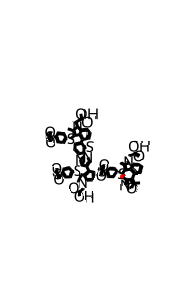 CS(=O)(=O)c1ccc(Sc2cn(CC(=O)O)c3cccc(-c4cncnc4)c23)cc1.Cc1c(Sc2ccc(S(C)(=O)=O)cc2)c2c(C3=CC=CCC3=S)cccc2n1CC(=O)O.Cc1noc(C)c1-c1cccc2c1c(Sc1ccc(S(C)(=O)=O)cc1)c(C)n2CC(=O)O